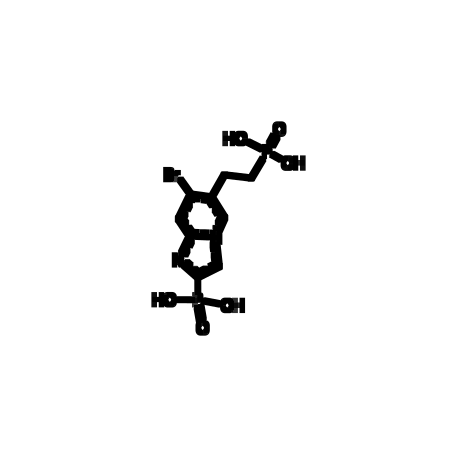 O=P(O)(O)CCc1cn2cc(P(=O)(O)O)nc2cc1Br